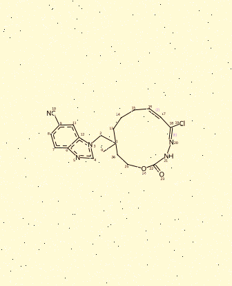 CC1(Cn2cnc3ccc(C#N)cc32)CCC/C=C\C(Cl)=N/NC(=O)OCC1